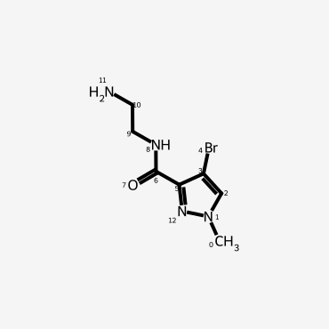 Cn1cc(Br)c(C(=O)NCCN)n1